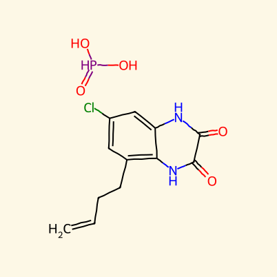 C=CCCc1cc(Cl)cc2[nH]c(=O)c(=O)[nH]c12.O=[PH](O)O